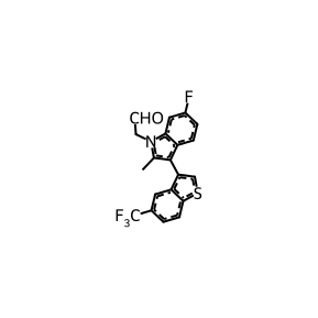 Cc1c(-c2csc3ccc(C(F)(F)F)cc23)c2ccc(F)cc2n1CC=O